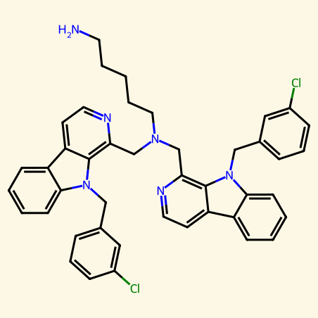 NCCCCCN(Cc1nccc2c3ccccc3n(Cc3cccc(Cl)c3)c12)Cc1nccc2c3ccccc3n(Cc3cccc(Cl)c3)c12